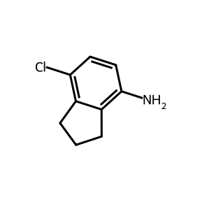 Nc1ccc(Cl)c2c1CCC2